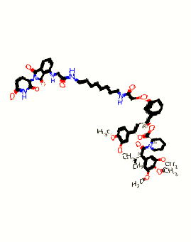 CC[C@H](C(=O)N1CCCC[C@H]1C(=O)O[C@H](CCc1ccc(OC)c(OC)c1)c1cccc(OCC(=O)NCCCCCCCCNC(=O)CNc2cccc3c2C(=O)N(C2CCC(=O)NC2=O)C3=O)c1)c1cc(OC)c(OC)c(OC)c1